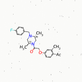 CC(=O)c1ccc(OCC(=O)N2C[C@@H](C)N(Cc3ccc(F)cc3)C[C@@H]2C)cc1C